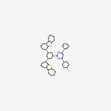 Fc1ccc(-c2cc(-c3ccccc3)nc(-c3cc(-c4cccc5c4sc4ccccc45)cc(-c4cccc5c4sc4ccccc45)c3)n2)cc1